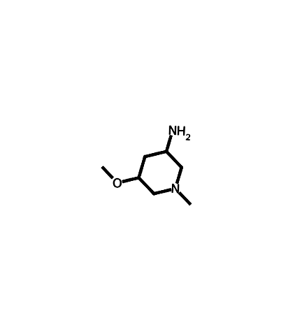 COC1CC(N)CN(C)C1